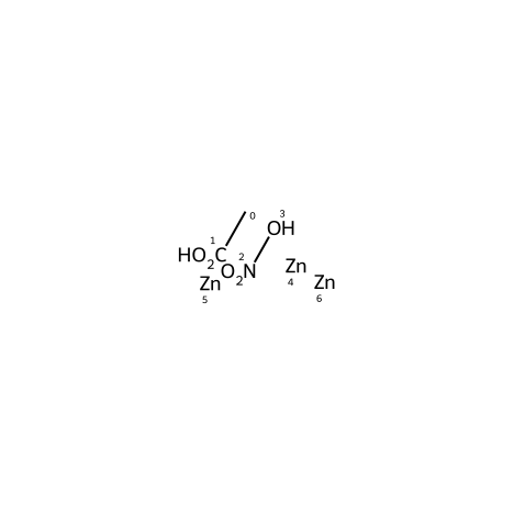 CC(=O)O.O=[N+]([O-])O.[Zn].[Zn].[Zn]